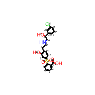 O=C(O)c1ccccc1S(=O)(=O)c1ccc(CCNCC(O)c2cccc(Cl)c2)c(O)c1